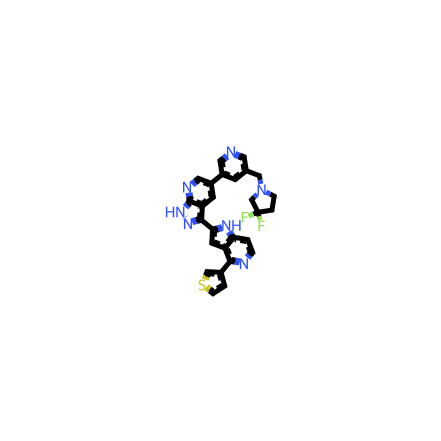 FC1(F)CCN(Cc2cncc(-c3cnc4[nH]nc(-c5cc6c(-c7ccsc7)nccc6[nH]5)c4c3)c2)C1